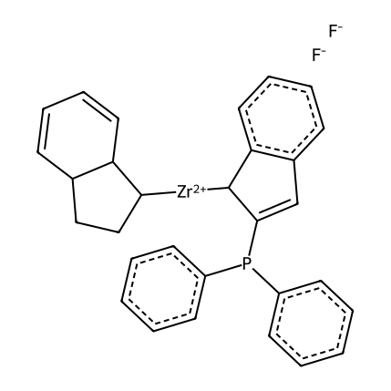 C1=CC2CC[CH]([Zr+2][CH]3C(P(c4ccccc4)c4ccccc4)=Cc4ccccc43)C2C=C1.[F-].[F-]